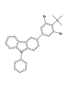 C[Si](C)(C)c1c(Br)cc(-c2ccc3c(c2)c2ccccc2n3-c2ccccc2)cc1Br